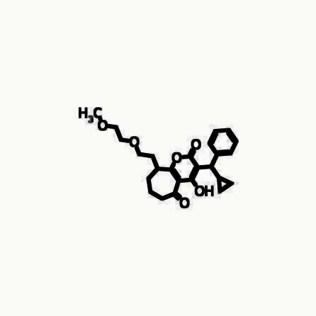 COCCOCCC1CCCC(=O)c2c1oc(=O)c(C(c1ccccc1)C1CC1)c2O